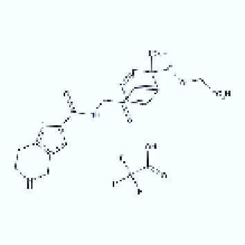 O=C(O)C(F)(F)F.O=C(O)COOC1(C(=O)O)C2=CC=CC1=C2C(=O)CNC(=O)c1cc2c(s1)CCNC2